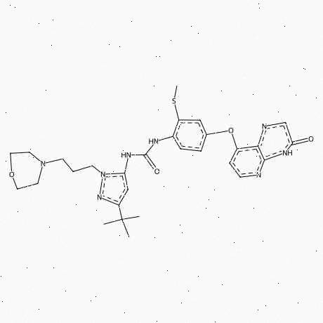 CSc1cc(Oc2ccnc3[nH]c(=O)cnc23)ccc1NC(=O)Nc1cc(C(C)(C)C)nn1CCCN1CCOCC1